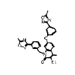 CCc1c(C)c2ccc(Oc3cccc(-c4noc(C)n4)c3)cc2n(Cc2cccc(-c3noc(C)n3)c2)c1=O